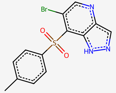 Cc1ccc(S(=O)(=O)c2c(Br)cnc3cn[nH]c23)cc1